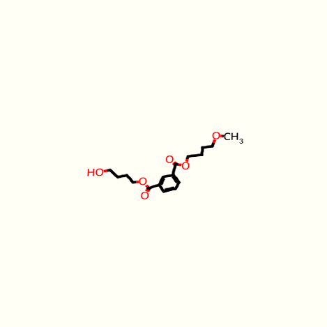 COCCCCOC(=O)c1cccc(C(=O)OCCCCO)c1